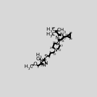 COCc1nnc(SCCCN2CCN(c3cc(C4CC4)nc(C(C)(C)C)n3)CC2)n1C